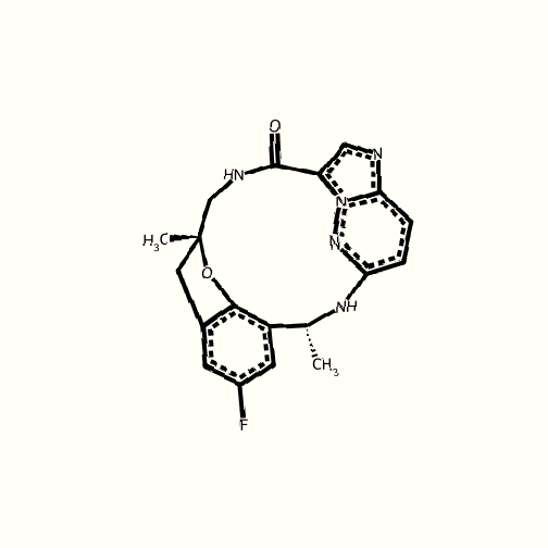 C[C@H]1Nc2ccc3ncc(n3n2)C(=O)NC[C@@]2(C)Cc3cc(F)cc1c3O2